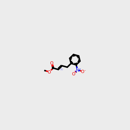 COC(=O)/C=C/Cc1ccccc1[N+](=O)[O-]